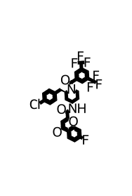 O=C(N[C@H]1CCN(C(=O)c2cc(C(F)(F)F)cc(C(F)(F)F)c2)[C@H](Cc2ccc(Cl)cc2)C1)c1cc(=O)c2ccc(F)cc2o1